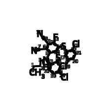 CCCCNc1c(C#N)c(C#N)c(F)c(Sc2cc(Cl)ccc2Cl)c1Sc1cc(Cl)ccc1Cl